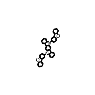 c1ccc2c(c1)oc1ccc(-n3c4ccccc4c4cc5c(cc43)c3ccccc3n5-c3ccc4oc5ccccc5c4c3)cc12